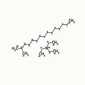 CCCCCCCCCCCCCC(C)C.CCN(CC)CC